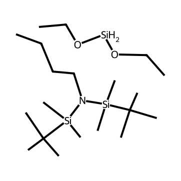 CCCCN([Si](C)(C)C(C)(C)C)[Si](C)(C)C(C)(C)C.CCO[SiH2]OCC